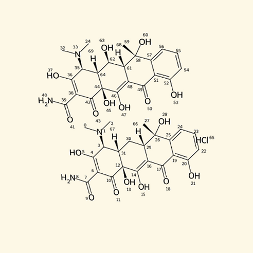 CN(C)[C@@H]1C(O)=C(C(N)=O)C(=O)[C@@]2(O)C(O)=C3C(=O)c4c(O)cccc4[C@@](C)(O)[C@H]3C[C@@H]12.CN(C)[C@@H]1C(O)=C(C(N)=O)C(=O)[C@@]2(O)C(O)=C3C(=O)c4c(O)cccc4[C@@](C)(O)[C@H]3[C@H](O)[C@@H]12.Cl